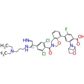 CCN(CC)CCCN/C=C(\C=N)c1cc(Cl)c(C(=O)N2COc3c(cccc3-c3cc(N4C5COCC4C5)c(C(=O)O)cc3F)C2)c(Cl)c1